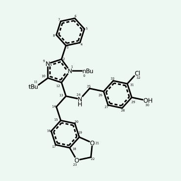 CCCCn1c(-c2ccccc2)nc(C(C)(C)C)c1C(Cc1ccc2c(c1)OCO2)NCc1ccc(O)c(Cl)c1